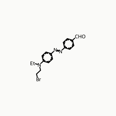 CCN(CCBr)c1ccc(N=Nc2ccc(C=O)cc2)cc1